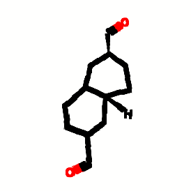 O=CC1CCC2C[C@H](C=O)CC[C@@H]2C1